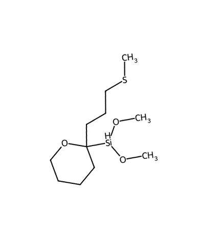 CO[SiH](OC)C1(CCCSC)CCCCO1